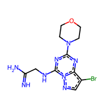 N=C(N)CNc1nc(N2CCOCC2)nc2c(Br)cnn12